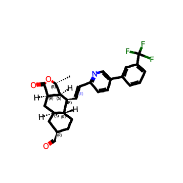 C[C@H]1OC(=O)[C@@H]2C[C@@H]3C[C@H](C=O)CC[C@H]3[C@H](/C=C/c3ccc(-c4cccc(C(F)(F)F)c4)cn3)[C@H]12